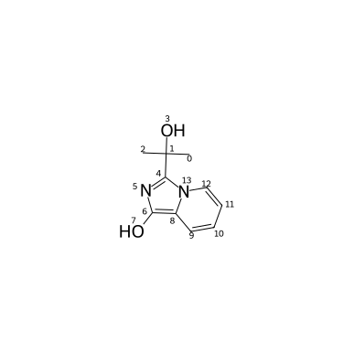 CC(C)(O)c1nc(O)c2ccccn12